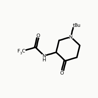 CC(C)(C)N1CCC(=O)C(NC(=O)C(F)(F)F)C1